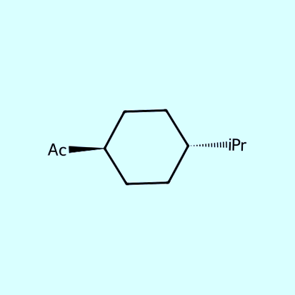 CC(=O)[C@H]1CC[C@H](C(C)C)CC1